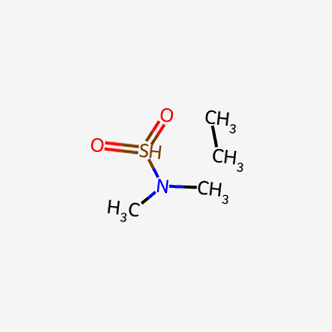 CC.CN(C)[SH](=O)=O